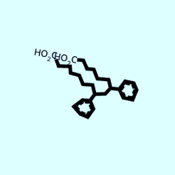 O=C(O)CCCCCCC(CC(CCCCCC(=O)O)c1ccccc1)c1ccccc1